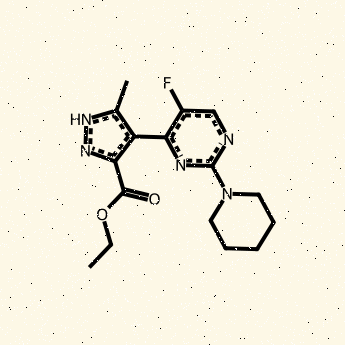 CCOC(=O)c1n[nH]c(C)c1-c1nc(N2CCCCC2)ncc1F